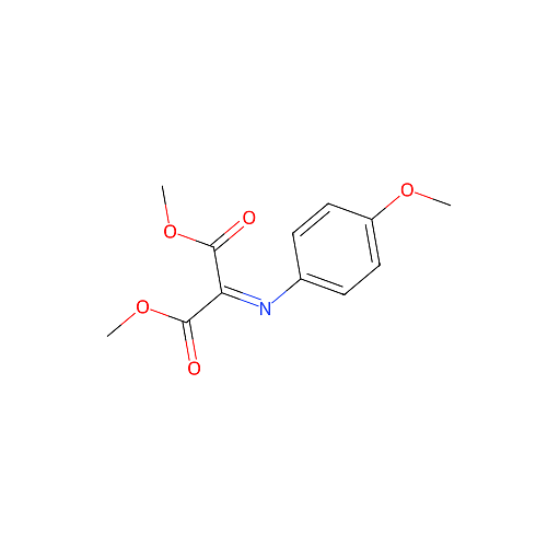 COC(=O)C(=Nc1ccc(OC)cc1)C(=O)OC